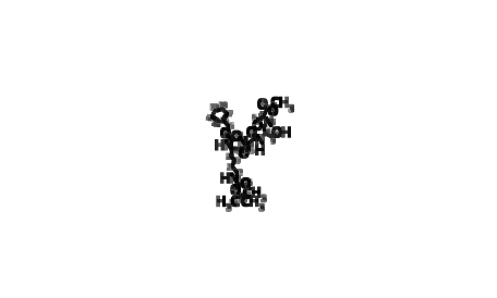 COC(=O)c1coc(C(CO)NC(=O)c2coc(C(CCCCNC(=O)OC(C)(C)C)NC(=O)OCc3ccccc3)n2)n1